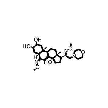 CON=C(CN1CCOCC1)[C@H]1CC[C@@]2(O)C3=CC(=NOC)[C@@H]4C[C@@H](O)[C@@H](O)C[C@]4(C)C3CC[C@]12C